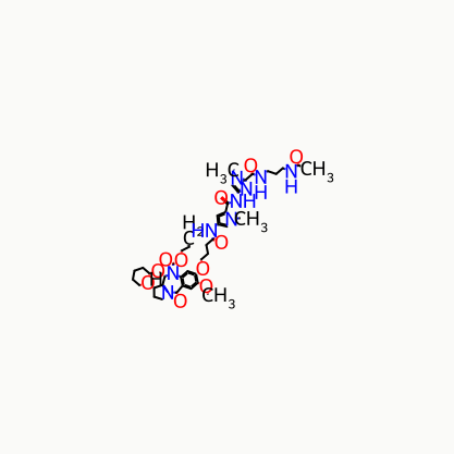 C=CCOC(=O)N1c2cc(OCCCC(=O)Nc3cc(C(=O)Nc4cn(C)c(C(=O)NCCCNC(C)=O)n4)n(C)c3)c(OC)cc2C(=O)N2CCC[C@H]2[C@@H]1OC1CCCCO1